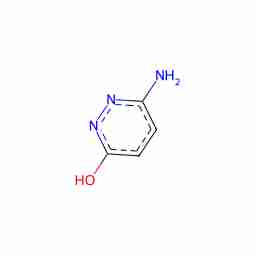 Nc1ccc(O)nn1